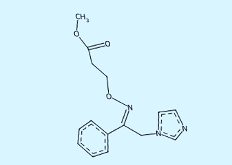 COC(=O)CCO/N=C(/Cn1ccnc1)c1ccccc1